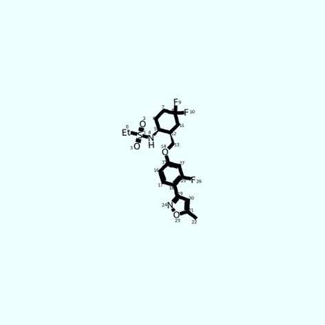 CCS(=O)(=O)N[C@H]1CCC(F)(F)C[C@H]1COc1ccc(-c2cc(C)on2)c(F)c1